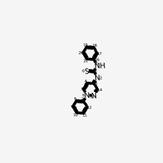 S=C(/N=c1\ccn(-c2ccccc2)nc1)Nc1ccccc1